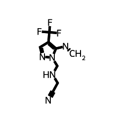 C=Nc1c(C(F)(F)F)cnn1CNCC#N